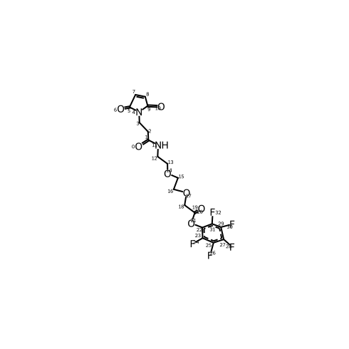 O=C(CCN1C(=O)C=CC1=O)NCCOCCOCC(=O)Oc1c(F)c(F)c(F)c(F)c1F